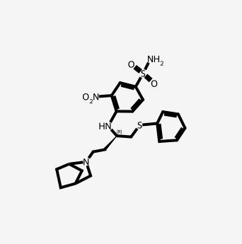 NS(=O)(=O)c1ccc(N[C@H](CCN2CC3CCC2C3)CSc2ccccc2)c([N+](=O)[O-])c1